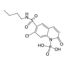 CCCCNS(=O)(=O)c1cc2c[c]c(=O)n(P(=O)(O)O)c2cc1Cl